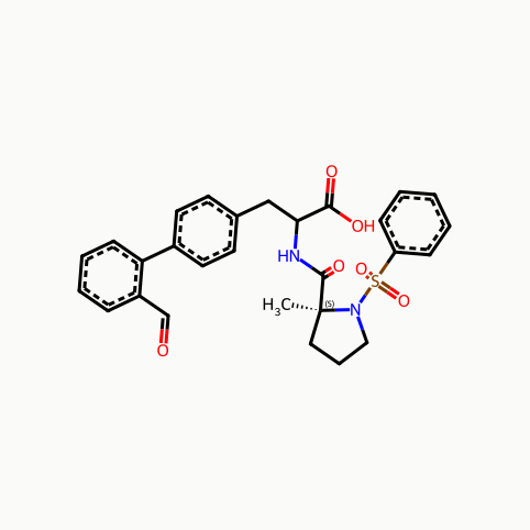 C[C@@]1(C(=O)NC(Cc2ccc(-c3ccccc3C=O)cc2)C(=O)O)CCCN1S(=O)(=O)c1ccccc1